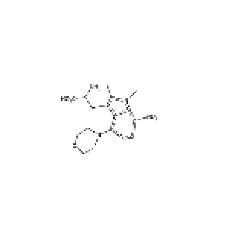 Cc1c(CC(N)C(=O)O)c2c(N3CCOCC3)ccc([N+](=O)[O-])c2n1C